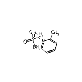 B[SH](C)(C)=O.Cc1ccccn1